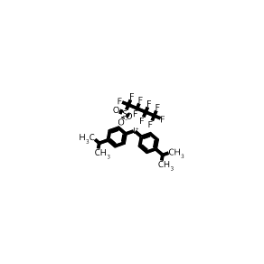 CC(C)c1ccc([I+]c2ccc(C(C)C)cc2)cc1.O=S(=O)([O-])C(F)(F)C(F)(F)C(F)(F)C(F)(F)F